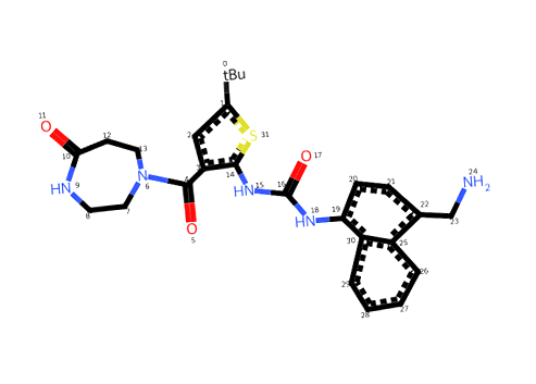 CC(C)(C)c1cc(C(=O)N2CCNC(=O)CC2)c(NC(=O)Nc2ccc(CN)c3ccccc23)s1